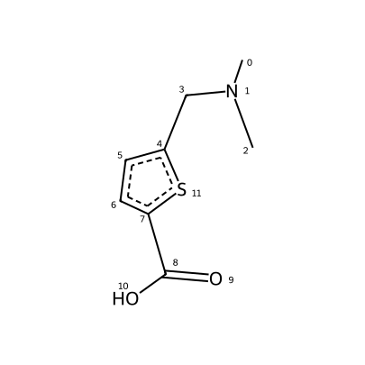 CN(C)Cc1ccc(C(=O)O)s1